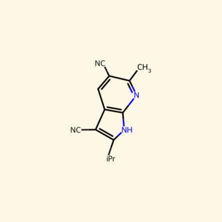 Cc1nc2[nH]c(C(C)C)c(C#N)c2cc1C#N